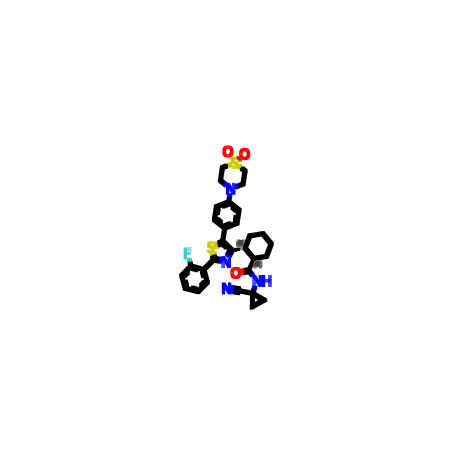 N#CC1(NC(=O)[C@@H]2CCCC[C@H]2c2nc(-c3ccccc3F)sc2-c2ccc(N3CCS(=O)(=O)CC3)cc2)CC1